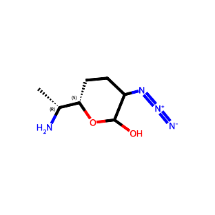 C[C@@H](N)[C@@H]1CCC(N=[N+]=[N-])C(O)O1